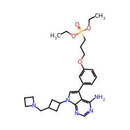 CCOP(=O)(CCCOc1cccc(-c2cn(C3CC(CN4CCC4)C3)c3ncnc(N)c23)c1)OCC